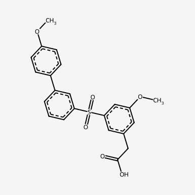 COc1ccc(-c2cccc(S(=O)(=O)c3cc(CC(=O)O)cc(OC)c3)c2)cc1